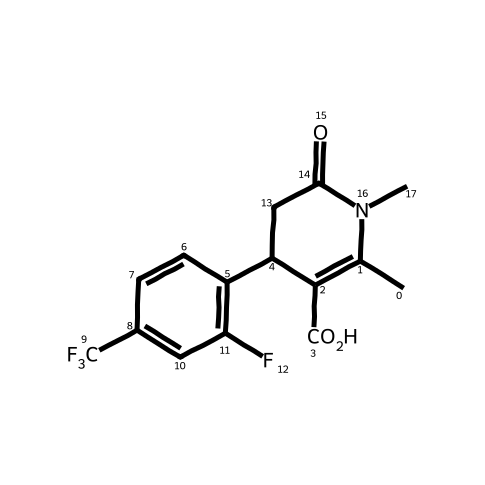 CC1=C(C(=O)O)C(c2ccc(C(F)(F)F)cc2F)CC(=O)N1C